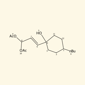 CCCCC1CCC(O)(C=CC(OC(C)=O)OC(C)=O)CC1